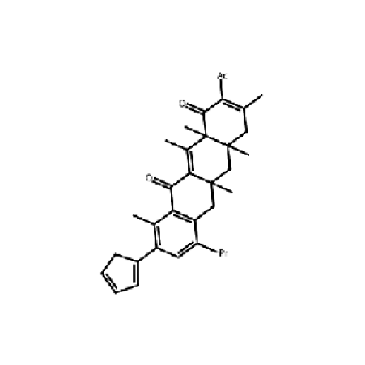 CC(=O)C1=C(C)CC2(C)CC3(C)Cc4c(C(C)C)cc(C5=CC=CC5)c(C)c4C(=O)C3=C(C)C2(C)C1=O